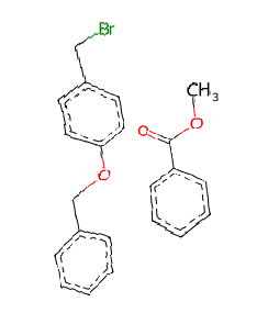 BrCc1ccc(OCc2ccccc2)cc1.COC(=O)c1ccccc1